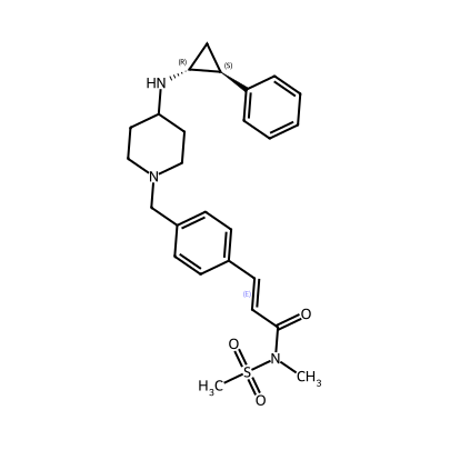 CN(C(=O)/C=C/c1ccc(CN2CCC(N[C@@H]3C[C@H]3c3ccccc3)CC2)cc1)S(C)(=O)=O